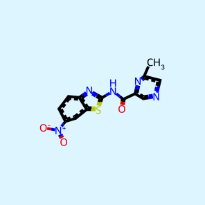 Cc1cncc(C(=O)Nc2nc3ccc([N+](=O)[O-])cc3s2)n1